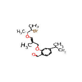 C/C(=C\O[C@H](C)C(C)Br)COc1cc(C(C)C)ccc1C=O